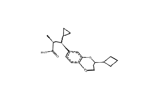 COC(=O)[C@@H](C)[C@H](c1ccc2c(c1)OC(C1CCC1)CO2)C1CC1